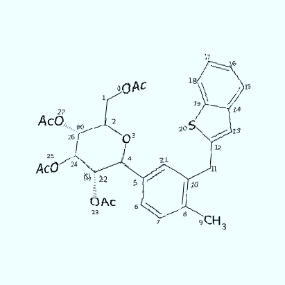 CC(=O)OCC1OC(c2ccc(C)c(Cc3cc4ccccc4s3)c2)[C@H](OC(C)=O)C(OC(C)=O)[C@@H]1OC(C)=O